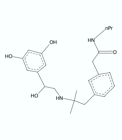 CCCNC(=O)Cc1cccc(CC(C)(C)NCC(O)c2cc(O)cc(O)c2)c1